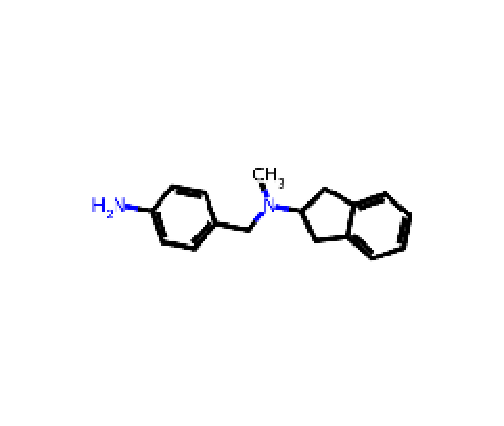 CN(Cc1ccc(N)cc1)C1Cc2ccccc2C1